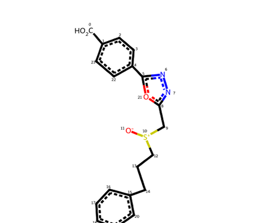 O=C(O)c1ccc(-c2nnc(C[S+]([O-])CCCc3ccccc3)o2)cc1